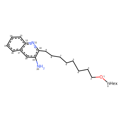 CCCCCCOCCCCCCCCc1nc2ccccc2cc1N